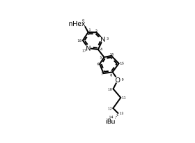 CCCCCCc1cnc(-c2ccc(OCCCC[C@@H](C)CC)cc2)nc1